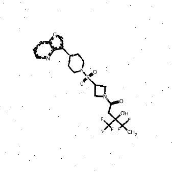 CC(F)(F)C(O)(CC(=O)N1CC(S(=O)(=O)N2CCC(c3coc4cccnc34)CC2)C1)C(F)(F)F